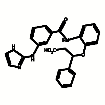 O=C(O)CC(Oc1ccccc1NC(=O)c1cccc(Nc2ncc[nH]2)c1)c1ccccc1